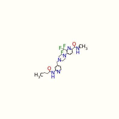 CCCC(=O)Nc1cc(CN2CCN(c3ccc(C(=O)NC)nc3C(F)(F)F)CC2)ccn1